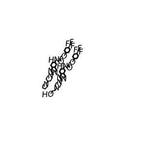 O=C(COc1ccc(C(F)(F)F)cc1)Nc1ccc2nc(N3CCC(N4CCCC4)CC3)ncc2c1.O=C(COc1ccc(C(F)(F)F)cc1)Nc1ccc2nc(N3CCN(CCO)CC3)ncc2c1